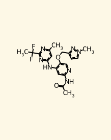 CC(=O)Nc1cc(Nc2cc(C)nc(C(C)(F)F)n2)c(OCc2ccn(C)n2)cn1